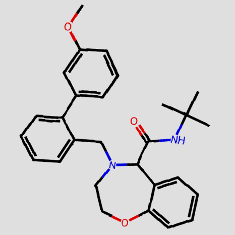 COc1cccc(-c2ccccc2CN2CCOc3ccccc3C2C(=O)NC(C)(C)C)c1